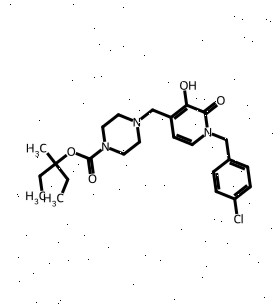 CCC(C)(CC)OC(=O)N1CCN(Cc2ccn(Cc3ccc(Cl)cc3)c(=O)c2O)CC1